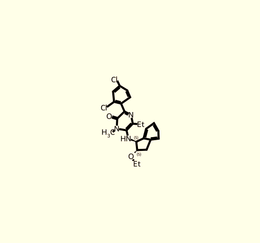 CCO[C@H]1Cc2ccccc2[C@@H]1Nc1c(CC)nc(-c2ccc(Cl)cc2Cl)c(=O)n1C